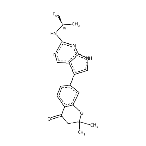 C[C@@H](Nc1ncc2c(-c3ccc4c(c3)OC(C)(C)CC4=O)c[nH]c2n1)C(F)(F)F